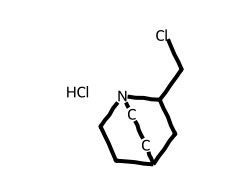 Cl.ClCC1CC2CCN1CC2